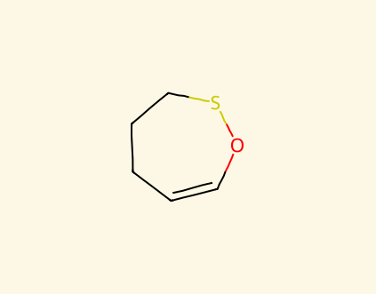 C1=COSCCC1